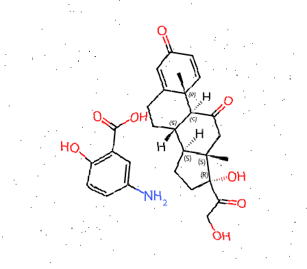 C[C@]12C=CC(=O)C=C1CC[C@@H]1[C@@H]2C(=O)C[C@@]2(C)[C@H]1CC[C@]2(O)C(=O)CO.Nc1ccc(O)c(C(=O)O)c1